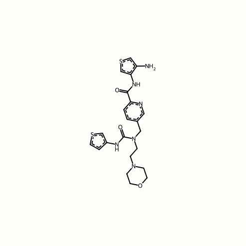 Nc1cscc1NC(=O)c1ccc(CN(CCN2CCOCC2)C(=O)Nc2ccsc2)cn1